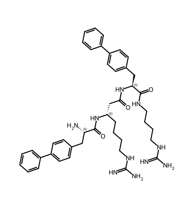 N=C(N)NCCCCNC(=O)[C@H](Cc1ccc(-c2ccccc2)cc1)NC(=O)C[C@H](CCCCNC(=N)N)NC(=O)[C@@H](N)Cc1ccc(-c2ccccc2)cc1